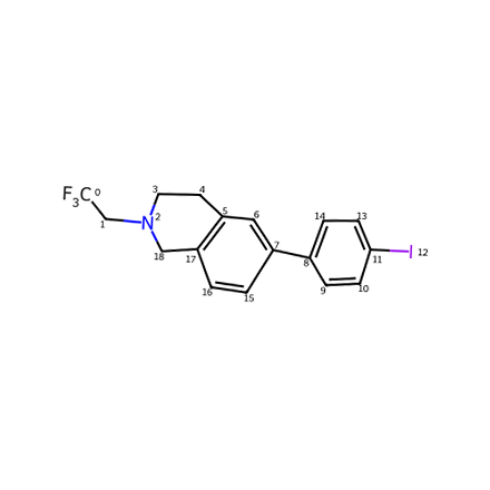 FC(F)(F)CN1CCc2cc(-c3ccc(I)cc3)ccc2C1